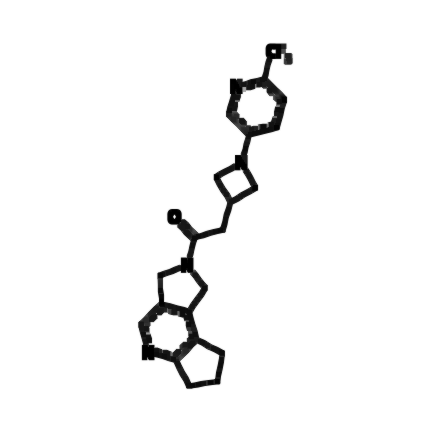 O=C(CC1CN(c2ccc(C(F)(F)F)nc2)C1)N1Cc2cnc3c(c2C1)CCC3